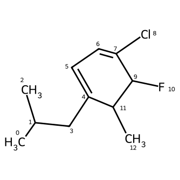 CC(C)CC1=CC=C(Cl)C(F)C1C